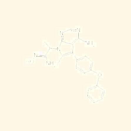 CC(/C(N)=N/O)n1c(I)c(-c2ccc(Oc3ccccc3)cc2)c2c(N)ncnc21